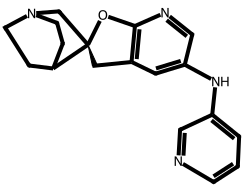 c1cncc(Nc2cnc3c(c2)C[C@@]2(CN4CCC2CC4)O3)c1